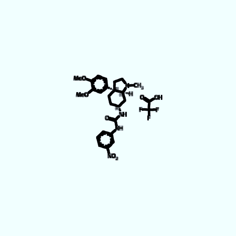 COc1ccc([C@@]23CC[C@@H](NC(=O)Nc4cccc([N+](=O)[O-])c4)C[C@@H]2N(C)CC3)cc1OC.O=C(O)C(F)(F)F